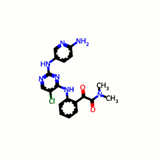 CN(C)C(=O)C(=O)c1ccccc1Nc1nc(Nc2ccc(N)nc2)ncc1Cl